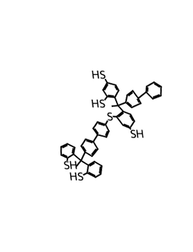 CC(c1ccc(-c2ccc(Sc3cc(S)ccc3C(C)(c3ccc(-c4ccccc4)cc3)c3ccc(S)cc3S)cc2)cc1)(c1ccccc1S)c1ccccc1S